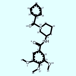 COc1cc(C(=O)NC2CCCN(C(=O)c3ccccc3)C2)cc(OC)c1OC